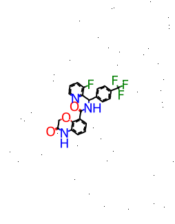 O=C1COc2c(cccc2C(=O)NC(c2ccc(C(F)(F)F)cc2)c2ncccc2F)N1